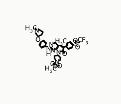 Cc1cc(S(=O)(=O)CC(F)(F)F)ccc1-c1cc2cnc(Nc3ccc(OC4CCCN(C)C4)cc3)nc2n(C2CCN(S(C)(=O)=O)CC2)c1=O